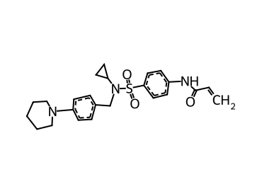 C=CC(=O)Nc1ccc(S(=O)(=O)N(Cc2ccc(N3CCCCC3)cc2)C2CC2)cc1